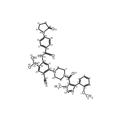 COc1ccccc1-c1nnn(C)c1C(=O)N1CCN(c2cc(NC(=O)c3ccc(N4CCCC4=O)cc3)c([NH+]([O-])O)cc2C#N)CC1